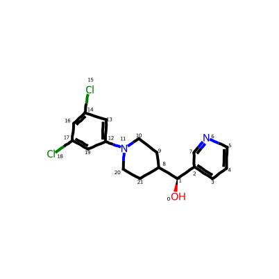 O[C@H](c1cccnc1)C1CCN(c2cc(Cl)cc(Cl)c2)CC1